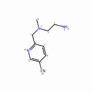 CN(CCN)Cc1ccc(C#N)cn1